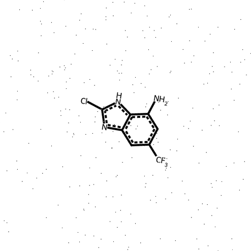 Nc1cc(C(F)(F)F)cc2nc(Cl)[nH]c12